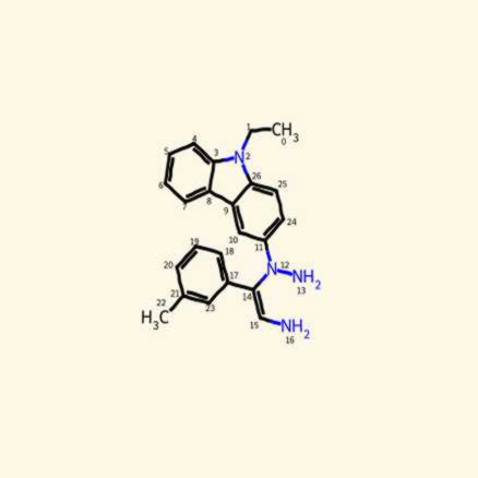 CCn1c2ccccc2c2cc(N(N)/C(=C\N)c3cccc(C)c3)ccc21